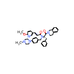 COc1ccc(/C=C/C(=O)N(Cc2ccc(N3CCN(C)CC3)cc2)[C@@H](Cc2ccccc2)C(=O)N2CCc3ccccc3C2)cn1